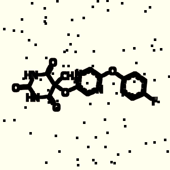 CC1(Oc2cnc(Oc3ccc(F)cc3)cn2)C(=O)NC(=O)NC1=O